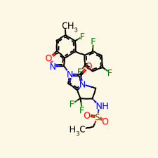 CCS(=O)(=O)N[C@@H]1Cn2c(cn(-c3noc4cc(C)c(F)c(-c5c(F)cc(F)cc5F)c34)c2=O)C1(F)F